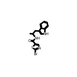 CC(Cc1c[nH]c2ccccc12)NC(=O)c1cnc(Br)s1